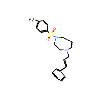 Cc1ccc(S(=O)(=O)N2CCCN(C/C=C/c3ccccc3)CC2)cc1